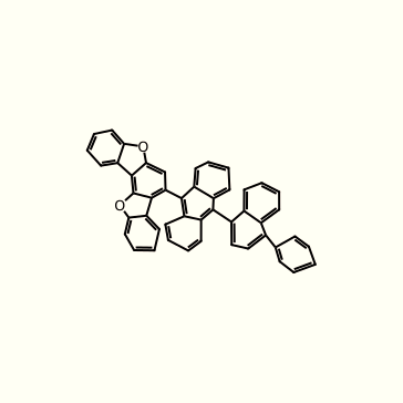 c1ccc(-c2ccc(-c3c4ccccc4c(-c4cc5oc6ccccc6c5c5oc6ccccc6c45)c4ccccc34)c3ccccc23)cc1